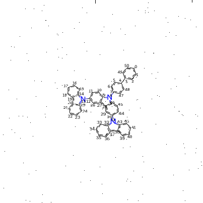 c1ccc(-c2ccc(-n3c4ccc(-n5c6ccccc6c6ccccc65)cc4c4cc(-n5c6ccccc6c6ccccc65)ccc43)cc2)cc1